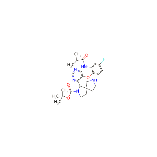 CC(C)C(=O)Nc1cc(F)ccc1Oc1cncnc1C1N(C(=O)OC(C)(C)C)CCC12CCNC2